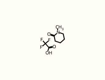 CN1CCCCC1=O.O=C(O)C(F)(F)F